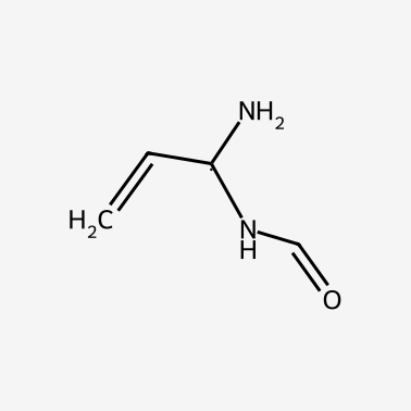 C=C[C](N)NC=O